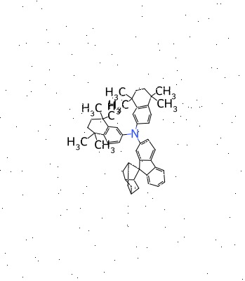 CC1(C)CCC(C)(C)c2cc(N(c3ccc4c(c3)C(C)(C)CCC4(C)C)c3ccc4c(c3)C3(c5ccccc5-4)C4CC5CC(C4)C3C5)ccc21